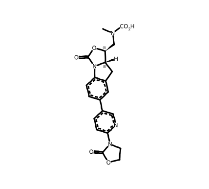 CN(C[C@@H]1OC(=O)N2c3ccc(-c4ccc(N5CCOC5=O)nc4)cc3C[C@@H]12)C(=O)O